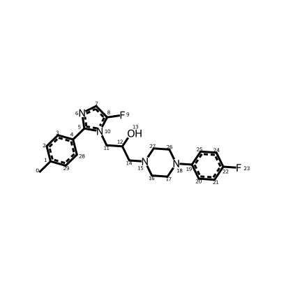 Cc1ccc(-c2ncc(F)n2CC(O)CN2CCN(c3ccc(F)cc3)CC2)cc1